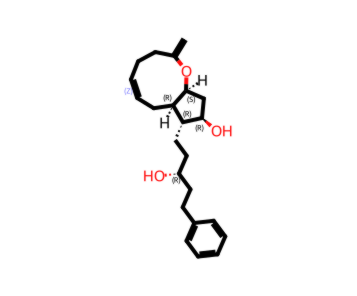 C=C1CC/C=C\C[C@@H]2[C@@H](CC[C@@H](O)CCc3ccccc3)[C@H](O)C[C@@H]2O1